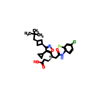 CC(C)(C)C[C@H]1C[C@@H](c2noc([C@@H](CCC(=O)O)CC(=O)Nc3ccc(Cl)cc3F)c2C2CC2)C1